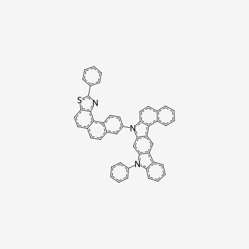 c1ccc(-c2nc3c(ccc4ccc5cc(-n6c7cc8c(cc7c7c9ccccc9ccc76)c6ccccc6n8-c6ccccc6)ccc5c43)s2)cc1